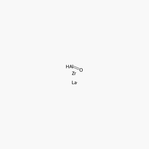 [La].[O]=[AlH].[Zr]